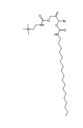 C=C(COC(=O)NCC[N+](C)(C)C)C(Br)OC(=O)NCCCCCCCCCCCCCCCCCC